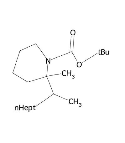 CCCCCCCC(C)C1(C)CCCCN1C(=O)OC(C)(C)C